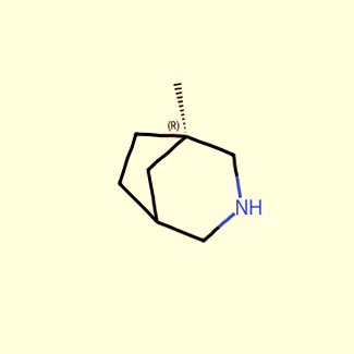 C[C@]12CCC(CNC1)C2